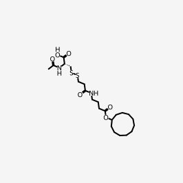 CC(=O)N[C@@H](CSSCCC(=O)NCCCC(=O)OC1CCCCCCCCCC1)C(=O)O